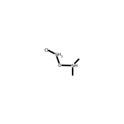 C[SiH](C)O[SiH2]Cl